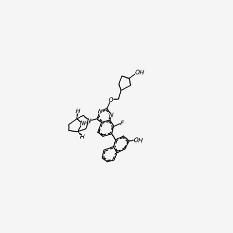 Oc1cc(-c2ccc3c(N4C[C@H]5CC[C@@H](C4)N5)nc(OCC4CCC(O)C4)nc3c2F)c2ccccc2c1